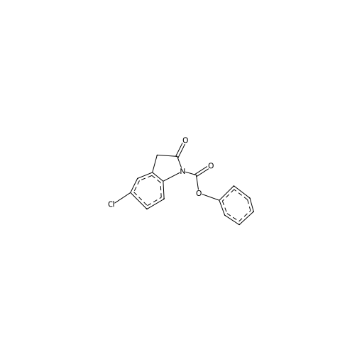 O=C1Cc2cc(Cl)ccc2N1C(=O)Oc1ccccc1